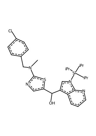 CC(C)[Si](C(C)C)(C(C)C)n1cc(C(O)c2cnc(N(C)Cc3ccc(Cl)cc3)s2)c2cccnc21